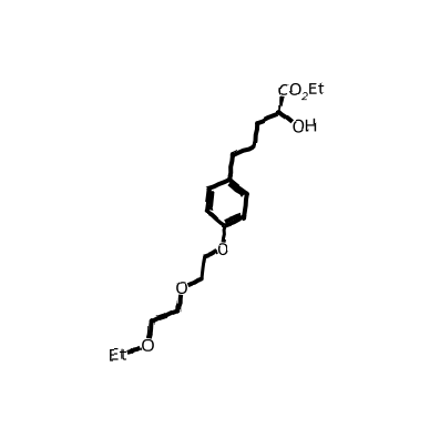 CCOCCOCCOc1ccc(CCC[C@H](O)C(=O)OCC)cc1